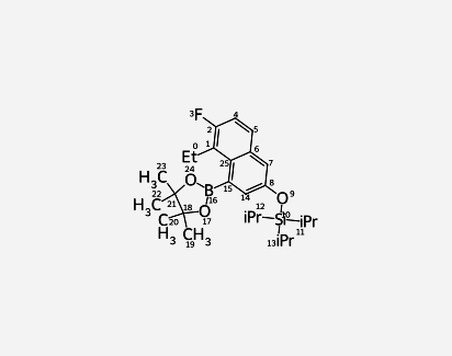 CCc1c(F)ccc2cc(O[Si](C(C)C)(C(C)C)C(C)C)cc(B3OC(C)(C)C(C)(C)O3)c12